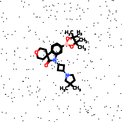 CC1(C)CCN([C@H]2C[C@@H](N3C(=O)C4(CCOCC4)c4ccc(B5OC(C)(C)C(C)(C)O5)cc43)C2)C1